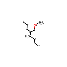 CCC[SiH2]C(CCC)CO[SiH3]